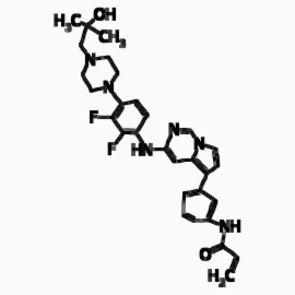 C=CC(=O)Nc1cccc(-c2ccn3cnc(Nc4ccc(N5CCN(CC(C)(C)O)CC5)c(F)c4F)cc23)c1